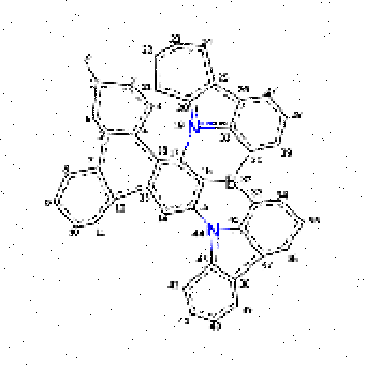 Cc1ccc2c(c1)c1ccccc1c1cc3c4c(c21)-n1c2ccccc2c2cccc(c21)B4c1cccc2c4ccccc4n-3c12